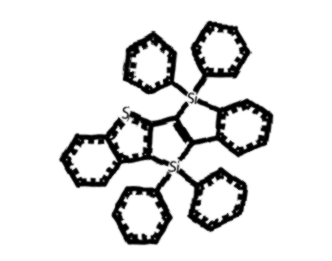 c1ccc([Si]2(c3ccccc3)C3=C(c4ccccc42)[Si](c2ccccc2)(c2ccccc2)c2c3sc3ccccc23)cc1